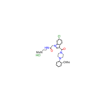 CNCCNC(=O)Cn1cc(C(=O)N2CCN(c3ccccc3OC)CC2)c2ccc(Cl)cc21.Cl